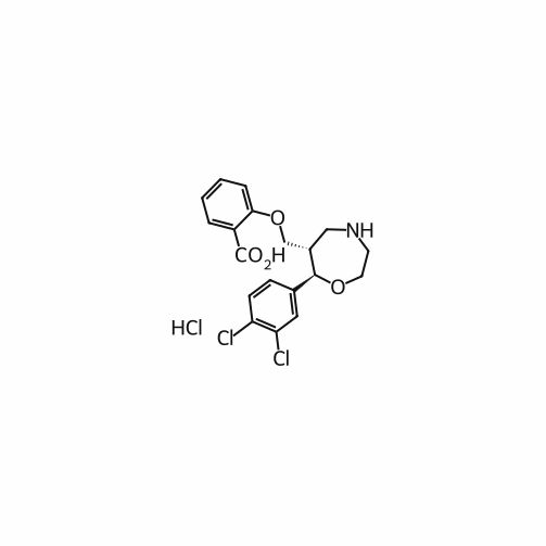 Cl.O=C(O)c1ccccc1OC[C@@H]1CNCCO[C@H]1c1ccc(Cl)c(Cl)c1